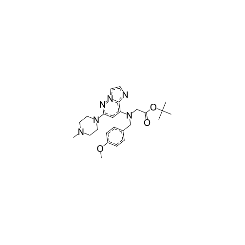 COc1ccc(CN(CC(=O)OC(C)(C)C)c2cc(N3CCN(C)CC3)nn3ccnc23)cc1